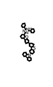 c1ccc(C2=NC(c3cccc4c3oc3cc(-c5ccc6sc7ccc(-n8c9ccccc9c9ccccc98)cc7c6c5)ccc34)=NC(c3ccccc3)N2)cc1